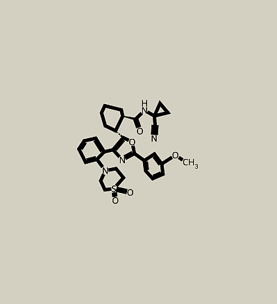 COc1cccc(-c2nc(-c3ccccc3N3CCS(=O)(=O)CC3)c([C@@H]3CCCC[C@H]3C(=O)NC3(C#N)CC3)o2)c1